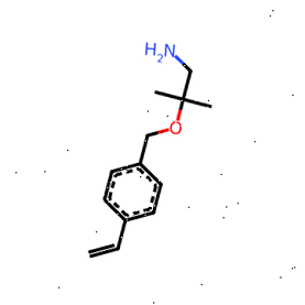 C=Cc1ccc(COC(C)(C)CN)cc1